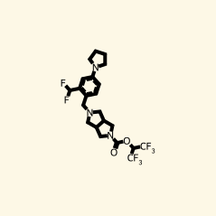 O=C(OC(C(F)(F)F)C(F)(F)F)N1CC2CN(Cc3ccc(N4CCCC4)cc3C(F)F)CC2C1